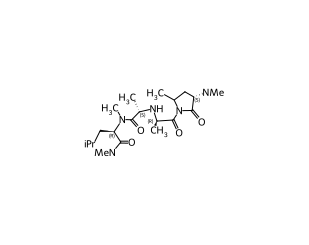 CNC(=O)[C@@H](CC(C)C)N(C)C(=O)[C@H](C)N[C@H](C)C(=O)N1C(=O)[C@@H](NC)CC1C